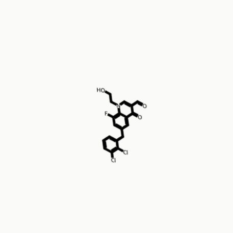 O=Cc1cn(CCO)c2c(F)cc(Cc3cccc(Cl)c3Cl)cc2c1=O